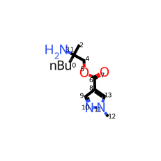 CCCCC(C)(N)COC(=O)c1cnn(C)c1